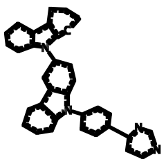 c1ccc2c(c1)c1ccccc1n2-c1ccc2c(c1)c1ccccc1n2-c1ccc(-c2ccncn2)cc1